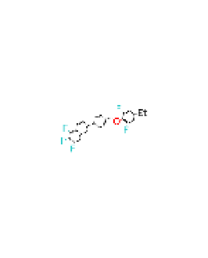 CCc1cc(F)c(OCc2ccc(-c3ccc4c(F)c(F)c(F)cc4c3)cc2)c(F)c1